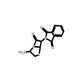 O=C(O)C1CSC2C(N3C(=O)c4ccccc4C3=O)C(=O)N12